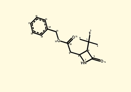 CC(C)(F)C1C(=O)NC1CC(=O)OCc1ccccc1